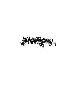 CC(C)(C)OCC(NC(=O)c1ccc(C(=N)NC(=O)OC(C)(C)C)cc1)C(=O)c1ccc(OCC(=O)O)cc1